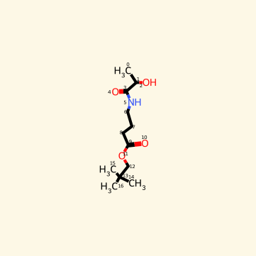 CC(O)C(=O)NCCCC(=O)OCC(C)(C)C